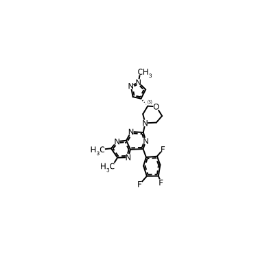 Cc1nc2nc(N3CCO[C@@H](c4cnn(C)c4)C3)nc(-c3cc(F)c(F)cc3F)c2nc1C